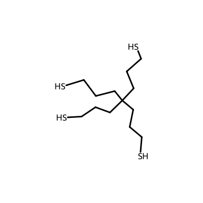 SCCCC(CCCS)(CCCS)CCCS